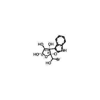 OC(Br)[C@@]1(Cl)O[C@H](O)[C@@H](O)[C@@]1(O)c1c[nH]c2ccccc12